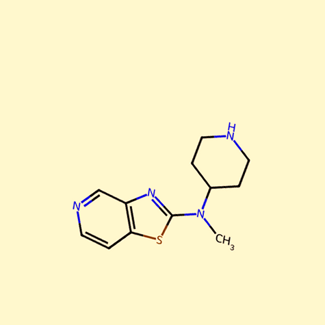 CN(c1nc2cnccc2s1)C1CCNCC1